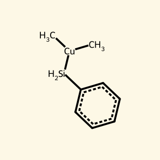 [CH3][Cu]([CH3])[SiH2]c1ccccc1